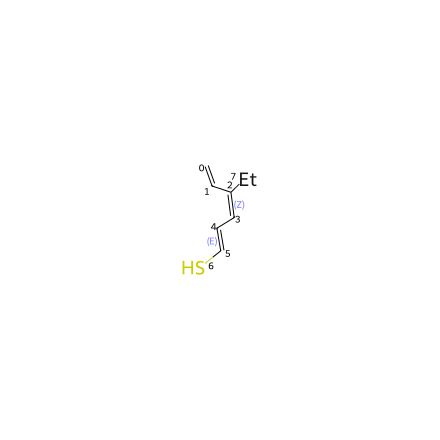 C=C/C(=C\C=C\S)CC